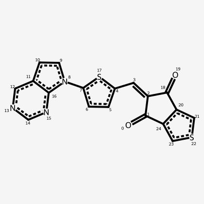 O=C1C(=Cc2ccc(-n3ccc4cncnc43)s2)C(=O)c2cscc21